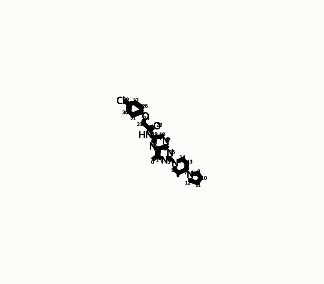 Cc1nc(N2CCC(N3CCCC3)CC2)nc2ncc(NC(=O)COc3ccc(Cl)cc3)nc12